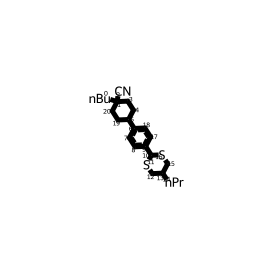 CCCCC1(C#N)CCC(c2ccc(C3SCC(CCC)CS3)cc2)CC1